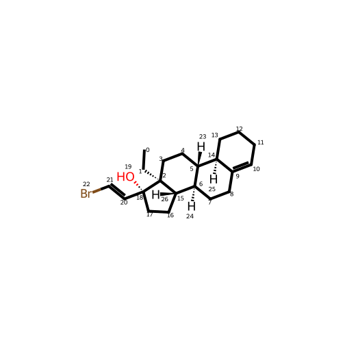 CC[C@]12CC[C@H]3[C@@H](CCC4=CCCC[C@@H]43)[C@@H]1CC[C@@]2(O)/C=C/Br